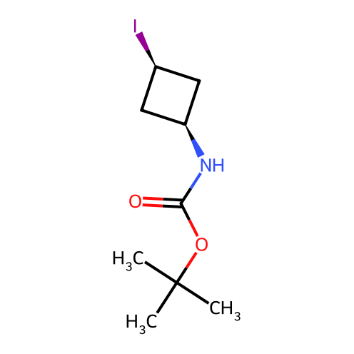 CC(C)(C)OC(=O)N[C@H]1C[C@@H](I)C1